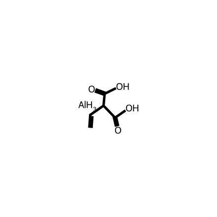 C=CC(C(=O)O)C(=O)O.[AlH3]